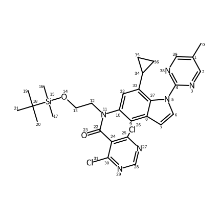 Cc1cnc(-n2ccc3cc(N(CCO[Si](C)(C)C(C)(C)C)C(=O)c4c(Cl)ncnc4Cl)cc(C4CC4)c32)nc1